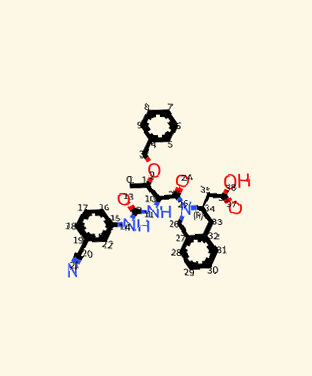 CC(OCc1ccccc1)C(NC(=O)Nc1cccc(C#N)c1)C(=O)N1Cc2ccccc2C[C@@H]1CC(=O)O